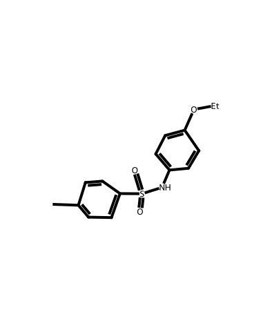 CCOc1ccc(NS(=O)(=O)c2ccc(C)cc2)cc1